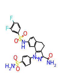 NC(=O)c1nn(-c2ccc(S(N)(=O)=O)cc2)c2c1CCc1ccc(NS(=O)(=O)c3ccc(F)c(F)c3)cc1-2